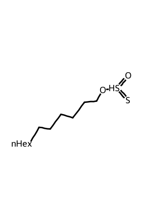 CCCCCCCCCCCCO[SH](=O)=S